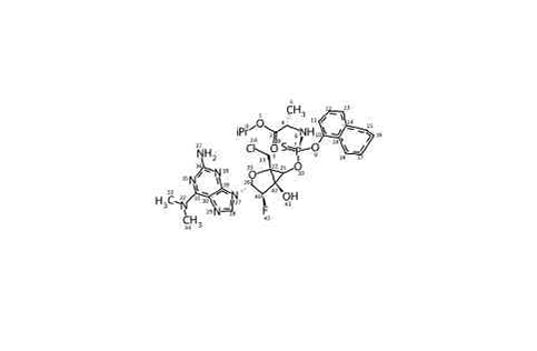 CC(C)OC(=O)[C@H](C)N[P@@](=S)(Oc1cccc2ccccc12)OC1[C@@]2(CCl)O[C@@H](n3cnc4c(N(C)C)nc(N)nc43)[C@H](F)[C@@]12O